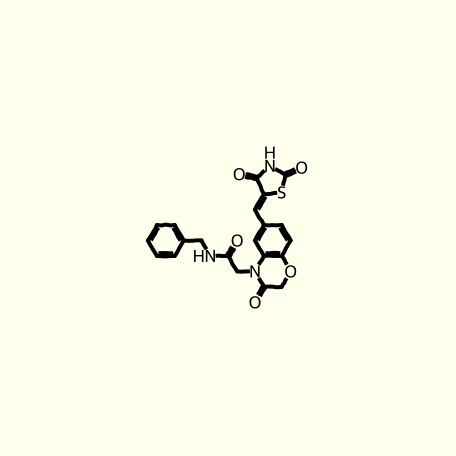 O=C(CN1C(=O)COc2ccc(/C=C3\SC(=O)NC3=O)cc21)NCc1ccccc1